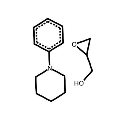 OCC1CO1.c1ccc(N2CCCCC2)cc1